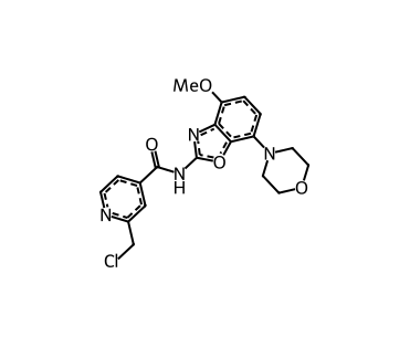 COc1ccc(N2CCOCC2)c2oc(NC(=O)c3ccnc(CCl)c3)nc12